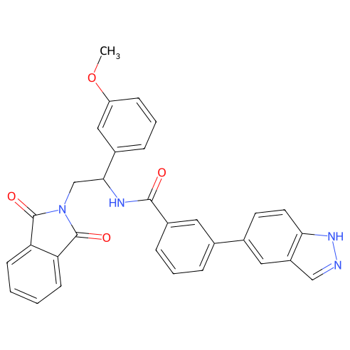 COc1cccc(C(CN2C(=O)c3ccccc3C2=O)NC(=O)c2cccc(-c3ccc4[nH]ncc4c3)c2)c1